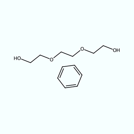 OCCOCCOCCO.c1ccccc1